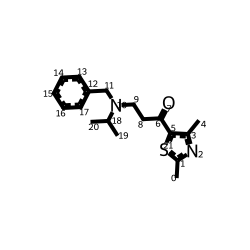 Cc1nc(C)c(C(=O)CCN(Cc2ccccc2)C(C)C)s1